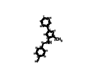 Cc1sc(-c2cnccn2)cc1NCc1ccc(F)cc1